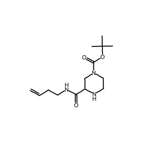 C=CCCNC(=O)C1CN(C(=O)OC(C)(C)C)CCN1